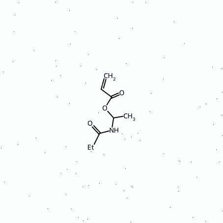 C=CC(=O)OC(C)NC(=O)CC